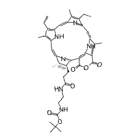 C=Cc1c(C)c2cc3nc(c4c5[nH]c(cc6nc(cc1[nH]2)C(C)=C6CC)c(C)c5C(=O)OC4=O)[C@@H](CCC(=O)NCCNC(=O)OC(C)(C)C)[C@@H]3C